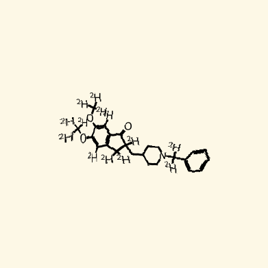 [2H]c1c(OC([2H])([2H])[2H])c(OC([2H])([2H])[2H])c([2H])c2c1C(=O)C([2H])(CC1CCN(C([2H])([2H])c3ccccc3)CC1)C2([2H])[2H]